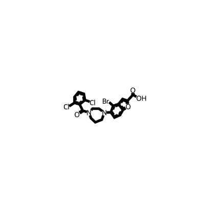 O=C(O)c1cc2c(Br)c(N3CCCN(C(=O)c4c(Cl)cccc4Cl)CC3)ccc2o1